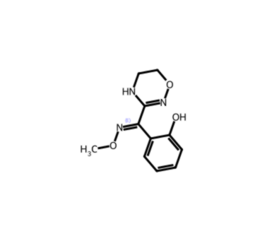 CO/N=C(/C1=NOCCN1)c1ccccc1O